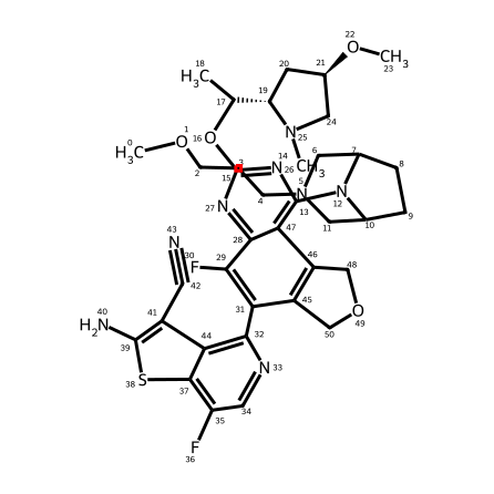 COCCCN1CC2CCC(C1)N2c1nc(OC(C)[C@@H]2C[C@@H](OC)CN2C)nc2c(F)c(-c3ncc(F)c4sc(N)c(C#N)c34)c3c(c12)COC3